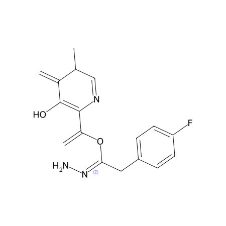 C=C(O/C(Cc1ccc(F)cc1)=N\N)C1=C(O)C(=C)C(C)C=N1